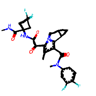 CNC(=O)C1(NC(=O)C(=O)c2c(C)c(C(=O)N(C)c3ccc(F)c(F)c3)c3n2CC2CC32)CC(F)(F)C1